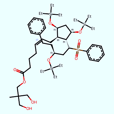 CC[Si](CC)(CC)O[C@@H](CCc1ccccc1)CC([C@@H]1[C@@H](C/C=C\CCCC(=O)OCC(C)(CO)CO)[C@@H](O[Si](CC)(CC)CC)C[C@H]1O[Si](CC)(CC)CC)S(=O)(=O)c1ccccc1